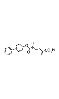 C=C(CCNC(=O)Oc1ccc(-c2ccccc2)cc1)C(=O)O